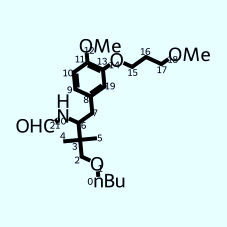 CCCCOCC(C)(C)C(Cc1ccc(OC)c(OCCCOC)c1)NC=O